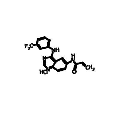 C=CC(=O)Nc1ccc2ncnc(Nc3cccc(C(F)(F)F)c3)c2c1.Cl